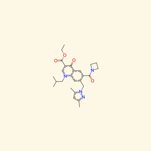 CCOC(=O)c1cn(CC(C)C)c2cc(Cn3nc(C)cc3C)c(C(=O)N3CCC3)cc2c1=O